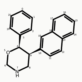 c1ccc([C@@H]2OCNC[C@@H]2c2ccc3ccccc3c2)cc1